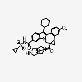 COc1ccc2c(c1)C1CC1(C(=O)N1CC34CNCC3(CN(C)C4)C1)Cn1c-2c(C2CCCCC2)c2ccc(C(=O)NS(=O)(=O)C3CC3)cc21